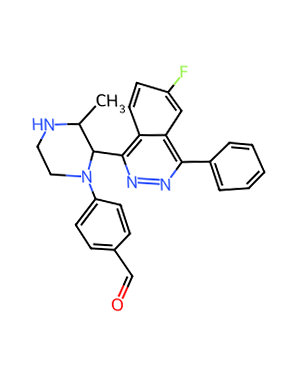 CC1NCCN(c2ccc(C=O)cc2)C1c1nnc(-c2ccccc2)c2cc(F)ccc12